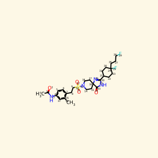 CC(=O)Nc1ccc(CCS(=O)(=O)N2CCC3(CC2)N=C(C2CCC(F)(CCCF)CC2)NC3=O)c(C)c1